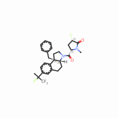 CN1C(=O)[C@@H](F)C[C@H]1C(=O)N1CC[C@@]2(Cc3ccccc3)c3ccc(C(C)(F)C(F)(F)F)cc3CC[C@@H]12